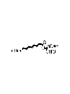 CCCCCCCCCCCCCCCCCC(=O)OC([C]=O)CCCCCCCCCC